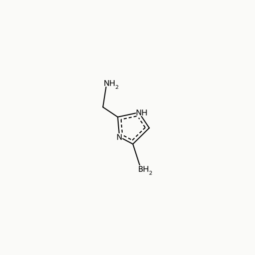 Bc1c[nH]c(CN)n1